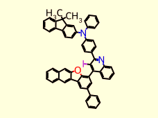 CC1(C)c2ccccc2-c2ccc(N(c3ccccc3)c3ccc(-c4nc5ccccc5c(-c5cc(-c6ccccc6)cc6c5oc5cc7ccccc7cc56)c4I)cc3)cc21